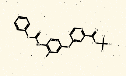 [2H]C([2H])([2H])NC(=O)c1cc(Oc2ccc(NC(=O)Oc3ccccc3)c(F)c2)ccn1